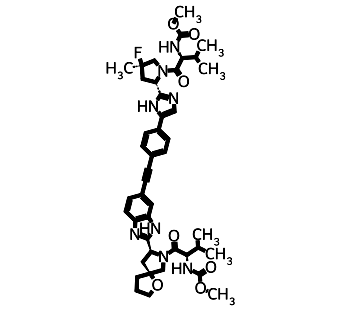 COC(=O)N[C@H](C(=O)N1C[C@](C)(F)C[C@H]1c1ncc(-c2ccc(C#Cc3ccc4nc([C@@H]5C[C@@]6(CCCO6)CN5C(=O)[C@@H](NC(=O)OC)C(C)C)[nH]c4c3)cc2)[nH]1)C(C)C